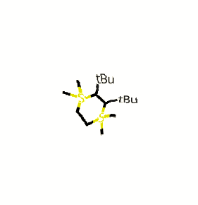 CC(C)(C)C1C(C(C)(C)C)S(C)(C)CCS1(C)C